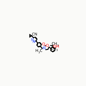 C[C@@H](c1ccc(-c2ccc(C3(C#N)CC3)nn2)cc1)N1CC[C@](CC(C)(C)O)(c2ccccc2)OC1=O